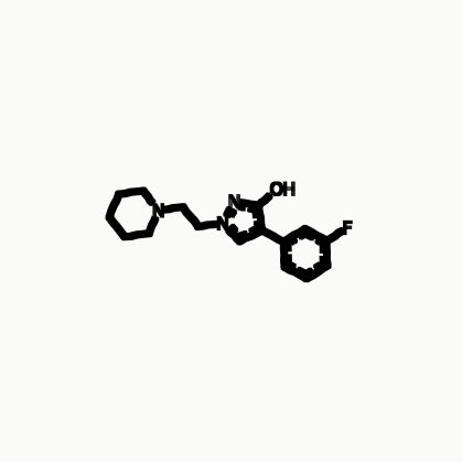 Oc1nn(CCN2CCCCC2)cc1-c1cccc(F)c1